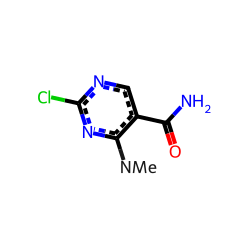 CNc1nc(Cl)ncc1C(N)=O